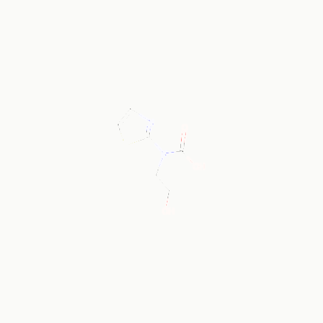 O=C(O)N(CCO)c1nccs1